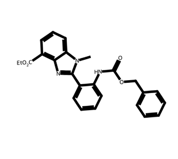 CCOC(=O)c1cccc2c1nc(-c1ccccc1NC(=O)OCc1ccccc1)n2C